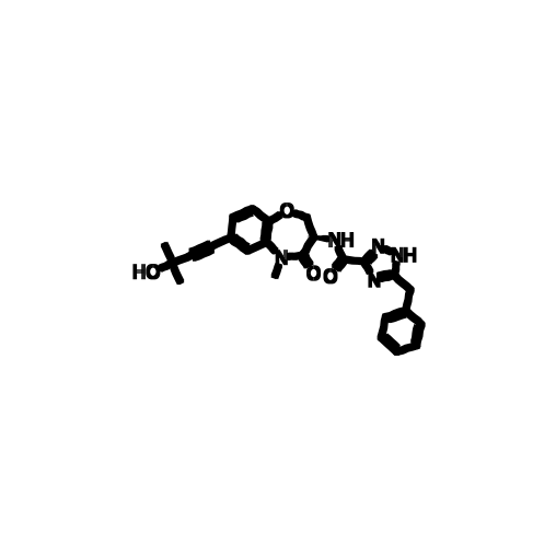 CN1C(=O)[C@H](NC(=O)c2n[nH]c(Cc3ccccc3)n2)COc2ccc(C#CC(C)(C)O)cc21